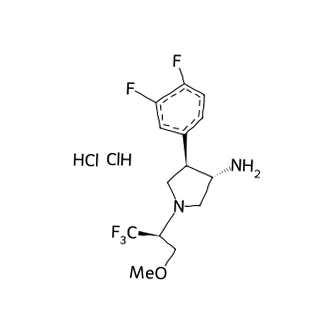 COC[C@H](N1C[C@@H](N)[C@H](c2ccc(F)c(F)c2)C1)C(F)(F)F.Cl.Cl